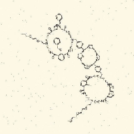 CCCOCCOCCN1CCNC(=O)c2cccc(c2OCc2ccccc2)C(=O)NCCN(Cc2ccc(-c3c4nc(cc5ccc([nH]5)c(-c5ccc(CN6CCNC(=O)c7cccc(c7C)C(=O)NCCN(CCOCCOCCOC)CCNC(=O)c7cccc(c7C)C(=O)NCC6)cc5)c5nc(cc6ccc3[nH]6)C=C5)C=C4)cc2)CCNC(=O)c2cccc(c2OCc2ccccc2)C(=O)NCC1